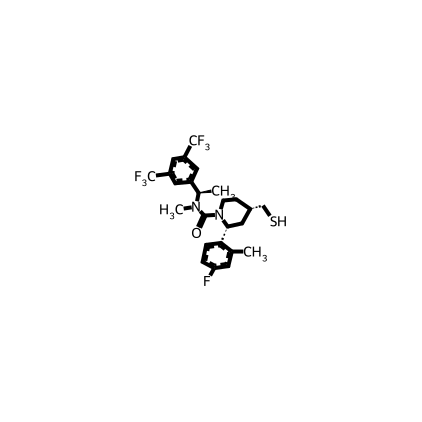 Cc1cc(F)ccc1[C@H]1C[C@@H](CS)CCN1C(=O)N(C)[C@H](C)c1cc(C(F)(F)F)cc(C(F)(F)F)c1